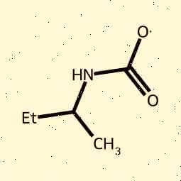 CCC(C)NC([O])=O